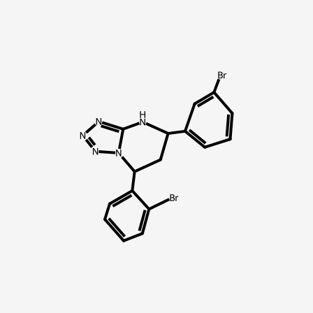 Brc1cccc(C2CC(c3ccccc3Br)n3nnnc3N2)c1